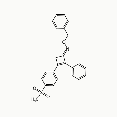 CS(=O)(=O)c1ccc(C2=C(c3ccccc3)C(=NOCc3ccccc3)C2)cc1